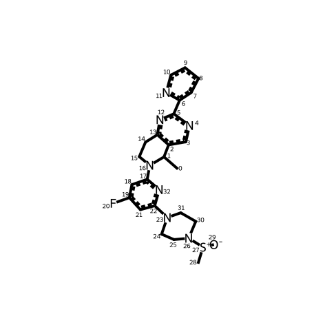 CC1c2cnc(-c3ccccn3)nc2CCN1c1cc(F)cc(N2CCN([S+](C)[O-])CC2)n1